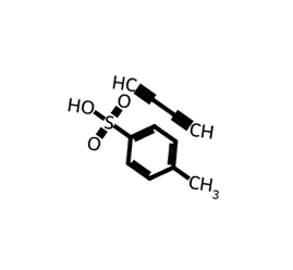 C#CC#C.Cc1ccc(S(=O)(=O)O)cc1